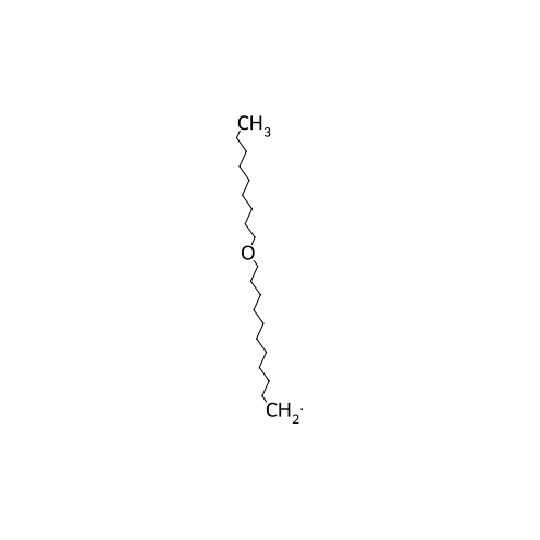 [CH2]CCCCCCCCCCOCCCCCCCCC